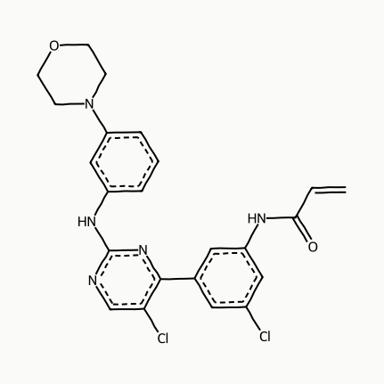 C=CC(=O)Nc1cc(Cl)cc(-c2nc(Nc3cccc(N4CCOCC4)c3)ncc2Cl)c1